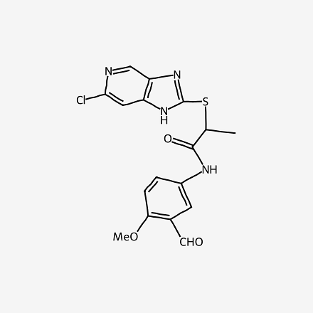 COc1ccc(NC(=O)C(C)Sc2nc3cnc(Cl)cc3[nH]2)cc1C=O